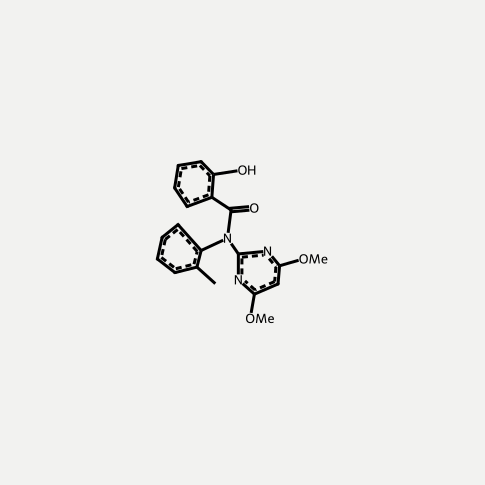 COc1cc(OC)nc(N(C(=O)c2ccccc2O)c2ccccc2C)n1